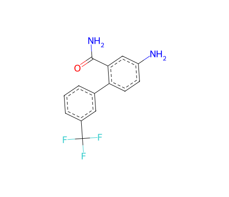 NC(=O)c1cc(N)ccc1-c1cccc(C(F)(F)F)c1